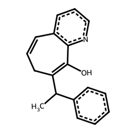 CC(C1=C(O)c2ncccc2C=CC1)c1ccccc1